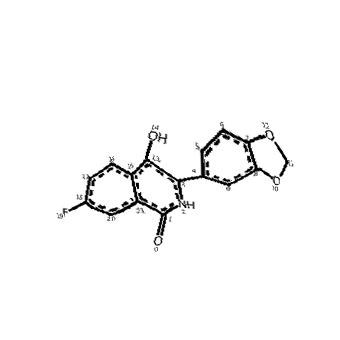 O=c1[nH]c(-c2ccc3c(c2)OCO3)c(O)c2ccc(F)cc12